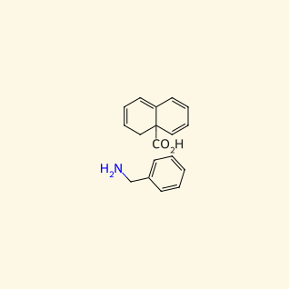 NCc1ccccc1.O=C(O)C12C=CC=CC1=CC=CC2